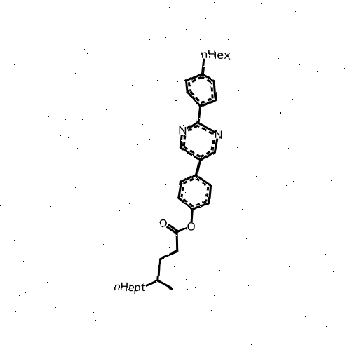 CCCCCCCC(C)CCC(=O)Oc1ccc(-c2cnc(-c3ccc(CCCCCC)cc3)nc2)cc1